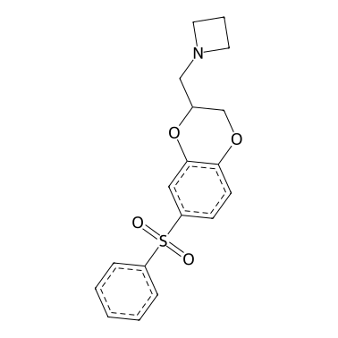 O=S(=O)(c1ccccc1)c1ccc2c(c1)OC(CN1CCC1)CO2